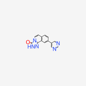 O=c1[nH]nc2c3cc(-c4cncnc4)ccc3ccn12